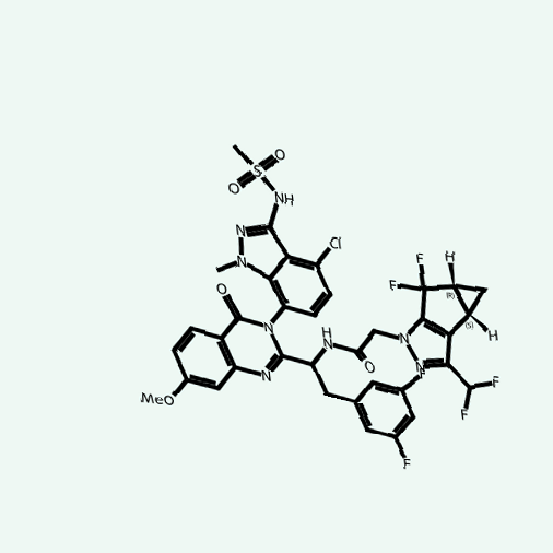 COc1ccc2c(=O)n(-c3ccc(Cl)c4c(NS(C)(=O)=O)nn(C)c34)c(C(Cc3cc(F)cc(F)c3)NC(=O)Cn3nc(C(F)F)c4c3C(F)(F)[C@@H]3C[C@H]43)nc2c1